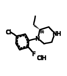 CC[C@@H]1CNCCN1c1cc(Cl)ccc1F.Cl